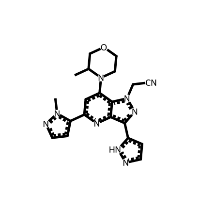 CC1COCCN1c1cc(-c2ccnn2C)nc2c(-c3ccn[nH]3)nn(CC#N)c12